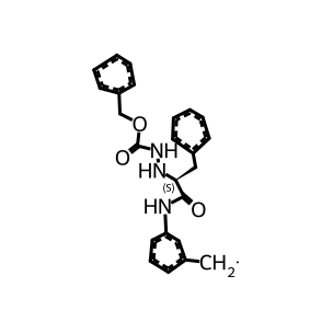 [CH2]c1cccc(NC(=O)[C@H](Cc2ccccc2)NNC(=O)OCc2ccccc2)c1